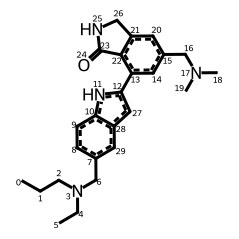 CCCN(CC)Cc1ccc2[nH]c(-c3cc(CN(C)C)cc4c3C(=O)NC4)cc2c1